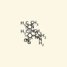 Cc1nc(C)c(N(C)c2ccc([N+](=O)[O-])cc2C(=O)N=C(N)N)nc1C